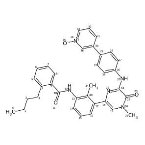 CCCCc1ccccc1C(=O)Nc1cccc(-c2cn(C)c(=O)c(Nc3ccc(-c4ccc[n+]([O-])c4)cc3)n2)c1C